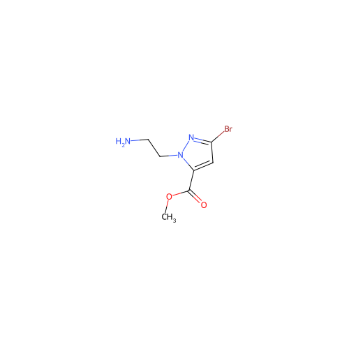 COC(=O)c1cc(Br)nn1CCN